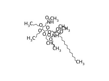 CCCCCCCCCCCCCC[C@H]1OC(C)(C)O[C@H]1[C@H](COC1OC(CNC(C)=O)C(OCCCC)C(OCCCC)C1OCCCC)NC(=O)OCCCC